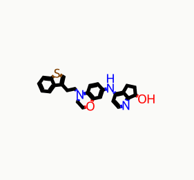 OC1CCc2c(Nc3ccc4c(c3)OCCN4CCc3csc4ccccc34)ccnc21